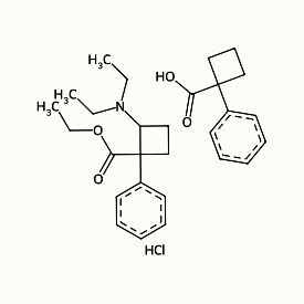 CCOC(=O)C1(c2ccccc2)CCC1N(CC)CC.Cl.O=C(O)C1(c2ccccc2)CCC1